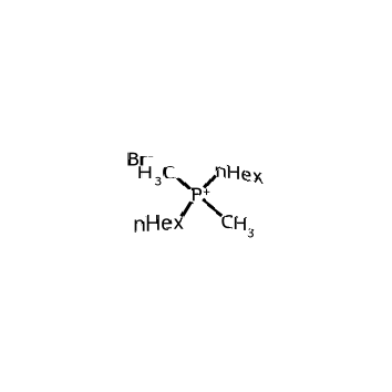 CCCCCC[P+](C)(C)CCCCCC.[Br-]